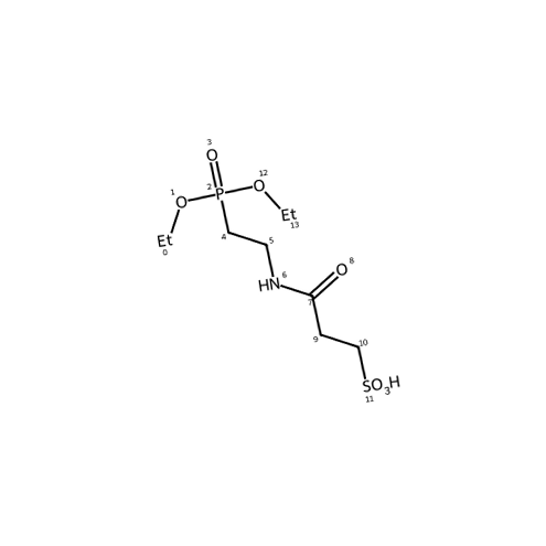 CCOP(=O)(CCNC(=O)CCS(=O)(=O)O)OCC